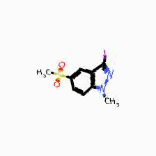 Cn1nc(I)c2cc(S(C)(=O)=O)ccc21